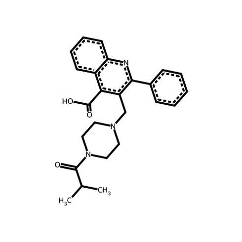 CC(C)C(=O)N1CCN(Cc2c(-c3ccccc3)nc3ccccc3c2C(=O)O)CC1